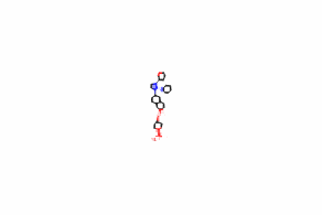 COC(=O)c1ccc(COc2ccc3cc(-c4ccc(-c5ccccc5)n4-c4ccccc4)ccc3c2)cc1